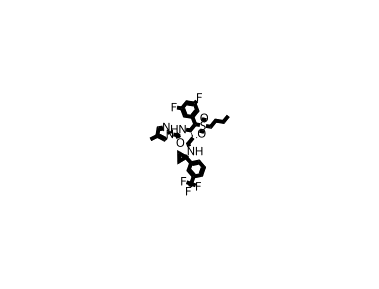 CCCCS(=O)(=O)C(c1cc(F)cc(F)c1)[C@H]([CH]CNC1(c2cccc(C(F)(F)F)c2)CC1)NC(=O)n1cc(C)cn1